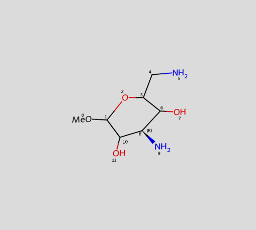 COC1OC(CN)C(O)[C@@H](N)C1O